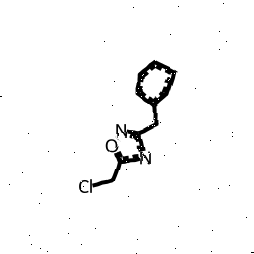 ClCc1nc(Cc2ccccc2)no1